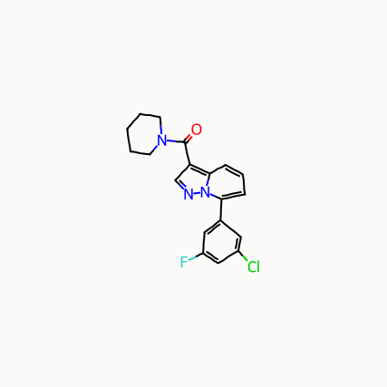 O=C(c1cnn2c(-c3cc(F)cc(Cl)c3)cccc12)N1CCCCC1